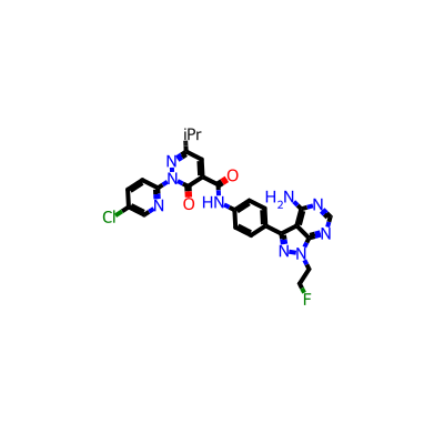 CC(C)c1cc(C(=O)Nc2ccc(-c3nn(CCF)c4ncnc(N)c34)cc2)c(=O)n(-c2ccc(Cl)cn2)n1